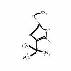 CC[C@H]1CC(C(C)(C)C)=NO1